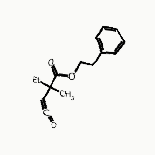 CCC(C)(C=C=O)C(=O)OCCc1ccccc1